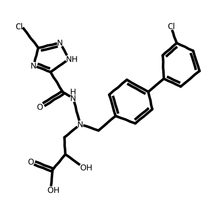 O=C(NN(Cc1ccc(-c2cccc(Cl)c2)cc1)CC(O)C(=O)O)c1nc(Cl)n[nH]1